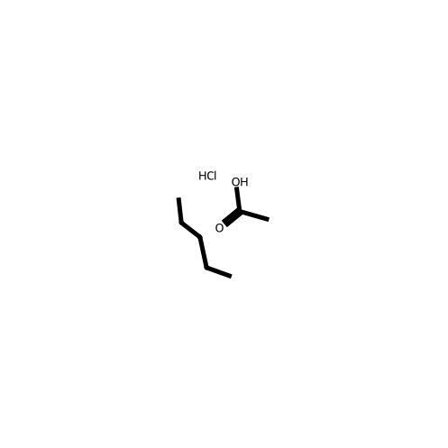 CC(=O)O.CCCCC.Cl